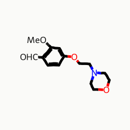 COc1cc(OCCN2CCOCC2)ccc1C=O